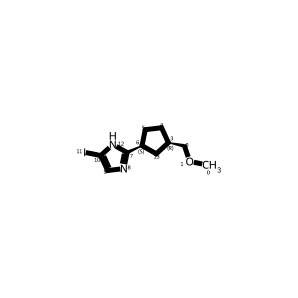 COC[C@@H]1CC[C@H](c2ncc(I)[nH]2)C1